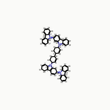 C1=Cc2c(c3c(n2C2C=CC(C4C=CC(n5c6ccccc6c6ccc(-n7c8ccccc8c8ccccc87)cc65)CC4)CC2)CC(n2c4ccccc4c4ccccc42)C=C3)CC1